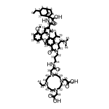 CCC1CC2CCC(NC(=O)c3cc(-c4c(OC)cccc4OC)n(-c4ccc(C(=O)N(CCCNC(=O)CN5CCN(CC)CCN(CC(=O)O)CCN(CC(=O)O)CC5)CCCN(C)C)cc4C(C)C)n3)(C(=O)O)C(C1)C2